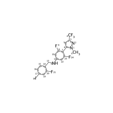 Cn1nc(C(F)(F)F)cc1-c1c(F)cc(NCc2ccc(I)cc2F)cc1F